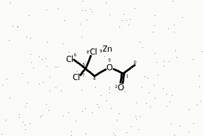 CC(=O)OCC(Cl)(Cl)Cl.[Zn]